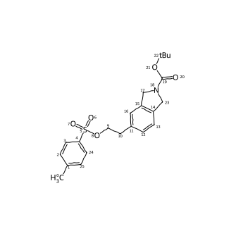 Cc1ccc(S(=O)(=O)OCCc2ccc3c(c2)CN(C(=O)OC(C)(C)C)C3)cc1